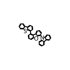 c1cc(-c2cccc3c2sc2ccccc23)c2c(c1)oc1c(-n3c4ccccc4c4ccccc43)cccc12